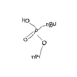 CCCCP(=O)(O)OCCC